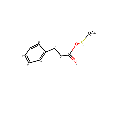 CC(=O)OSOC(=O)CCc1ccccc1